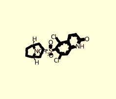 CN1[C@@H]2CC[C@H]1C[C@H](S(=O)(=O)c1c(Cl)cc3[nH]c(=O)ccc3c1Cl)C2